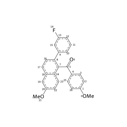 COc1ccc(C(=O)c2c(-c3cccc(F)c3)ccc3cc(OC)ccc23)cc1